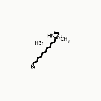 Br.C[n+]1cc[nH]c1CCCCCCCCCCBr